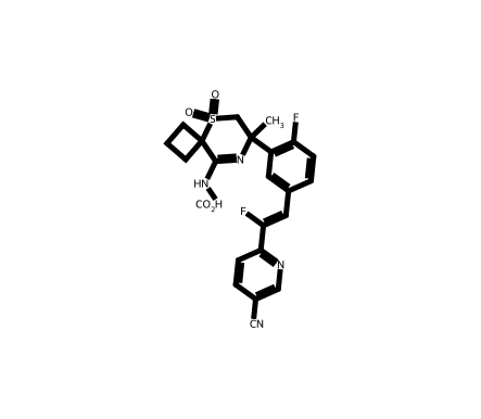 CC1(c2cc(C=C(F)c3ccc(C#N)cn3)ccc2F)CS(=O)(=O)C2(CCC2)C(NC(=O)O)=N1